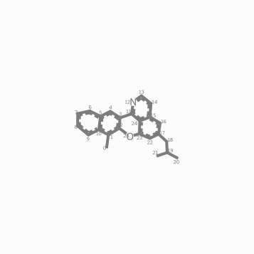 Cc1c2c(cc3ccccc13)-c1nccc3cc(CC(C)C)cc(c13)O2